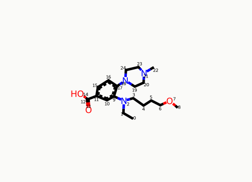 CCN(CCCCOC)c1cc(C(=O)O)ccc1N1CCN(C)CC1